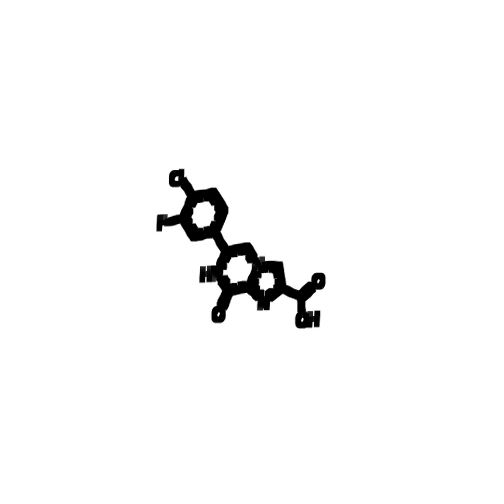 O=C(O)c1cn2cc(-c3ccc(Cl)c(F)c3)[nH]c(=O)c2n1